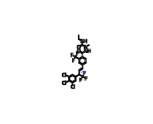 CCNC(=O)N(C)NC(=O)c1ccc(/C=C/C(c2cc(Cl)c(Cl)c(Cl)c2)C(F)(F)F)cc1C(F)(F)F